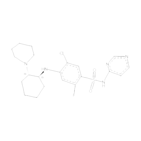 O=S(=O)(Nc1ccncn1)c1cc(Cl)c(N[C@H]2CCCC[C@@H]2N2CCCCC2)cc1F